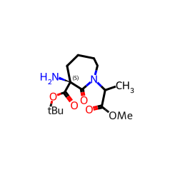 COC(=O)C(C)N1CCCC[C@@](N)(C(=O)OC(C)(C)C)C1=O